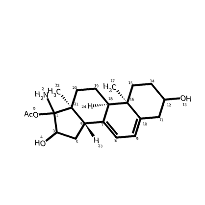 CC(=O)OC1(N)C(O)C[C@H]2C3=CC=C4CC(O)CC[C@]4(C)[C@@H]3CC[C@@]21C